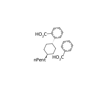 CCCCC[C@H]1CC[C@H](c2ccccc2C(=O)O)CC1.O=C(O)c1ccccc1